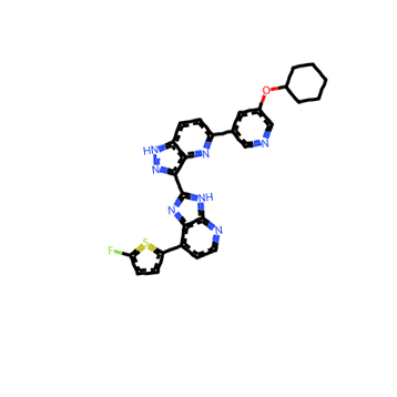 Fc1ccc(-c2ccnc3[nH]c(-c4n[nH]c5ccc(-c6cncc(OC7CCCCC7)c6)nc45)nc23)s1